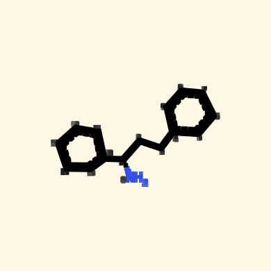 N[C@@H](CCc1ccccc1)c1ccccc1